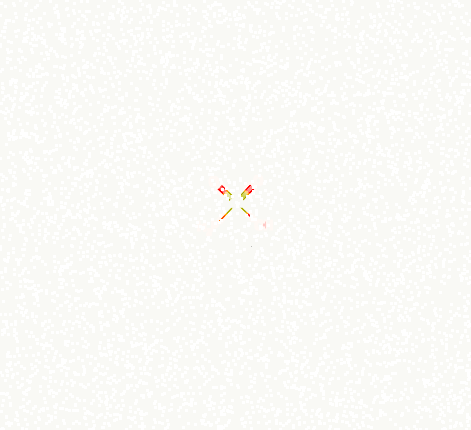 O=S(=O)(O)P.[Zn]